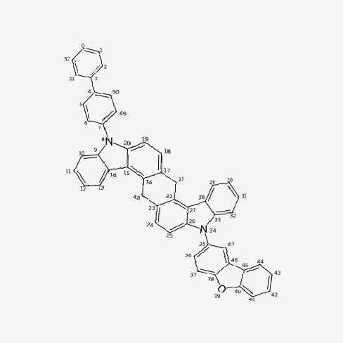 c1ccc(-c2ccc(-n3c4ccccc4c4c5c(ccc43)Cc3c(ccc4c3c3ccccc3n4-c3ccc4oc6ccccc6c4c3)C5)cc2)cc1